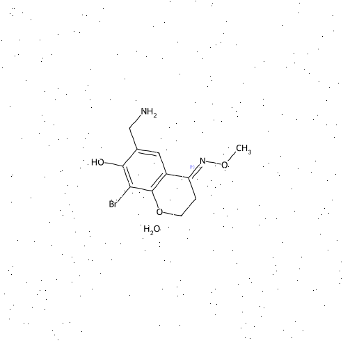 CO/N=C1\CCOc2c1cc(CN)c(O)c2Br.O